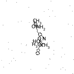 CCOC(=O)[C@H](N)CCCc1ccc(C#N)c(OC[C@H](O)C[N+](C)(C)CCC2Cc3ccccc3C2)c1